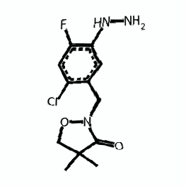 CC1(C)CON(Cc2cc(NN)c(F)cc2Cl)C1=O